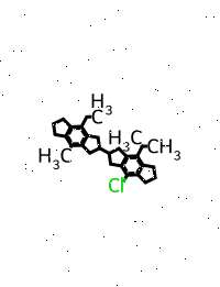 CCc1c2c(c(C)c3c1CC(C1Cc4c(Cl)c5c(c(C(C)C)c4C1)CCC5)C3)CCC2